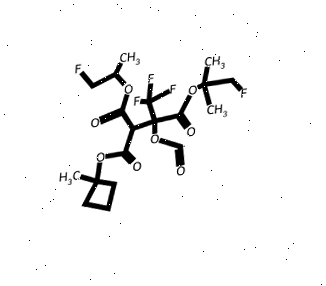 CC(CF)OC(=O)C(C(=O)OC1(C)CCC1)C(O[C]=O)(C(=O)OC(C)(C)CF)C(F)(F)F